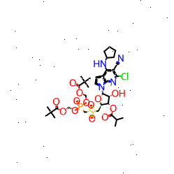 CC(C)C(=O)O[C@H]1[C@@H](O)[C@H](n2ccc3c(NC4CCCC4)c(C#N)c(Cl)nc32)O[C@@H]1CS(=O)(=O)CP(=O)(OCOC(=O)C(C)(C)C)OCOC(=O)C(C)(C)C